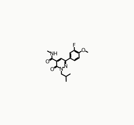 CNC(=O)c1cc(-c2ccc(OC)c(F)c2)nn(CC(C)C)c1=O